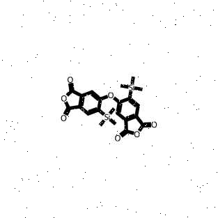 C[Si](C)(C)c1cc2c(cc1Oc1cc3c(cc1[Si](C)(C)C)C(=O)OC3=O)C(=O)OC2=O